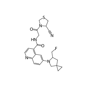 N#CC1CSCN1C(=O)CNC(=O)c1ccnc2ccc(N3CC4(CC4)CC3CF)cc12